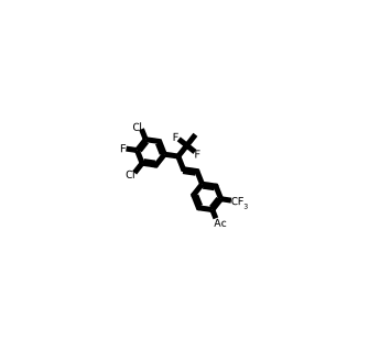 CC(=O)c1ccc(/C=C/C(c2cc(Cl)c(F)c(Cl)c2)C(C)(F)F)cc1C(F)(F)F